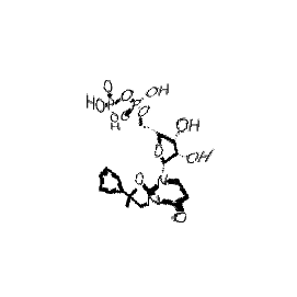 CC(C)(Cn1c(=O)ccn([C@@H]2O[C@H](COP(=O)(O)OP(=O)(O)O)[C@H](O)[C@@H]2O)c1=O)c1ccccc1